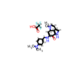 CN(C)c1ccc(CNC2=CC3c4c(c[nH]c4C2=O)C=CN3C)cc1.O=C(O)C(F)(F)F